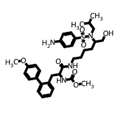 COC(=O)NC(Cc1ccccc1-c1ccc(OC)cc1)C(=O)NCCCCC(CO)N(CC(C)C)S(=O)(=O)c1ccc(N)cc1